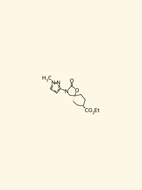 CCOC(=O)[C@H]1CC[C@]2(CC1)CN(c1ccn(C)n1)C(=O)O2